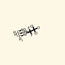 CC(C)=O.CCCCCC.C[N+](=O)[O-].FC(F)(F)C(Cl)(Cl)Cl